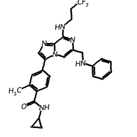 Cc1cc(-c2cnc3c(NCCC(F)(F)F)nc(CNc4ccccc4)cn23)ccc1C(=O)NC1CC1